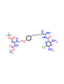 CC(C)(C)OC(=O)/N=C(\NCCOc1ccc(CCCCNC(=N)NC(=O)c2nc(Cl)c(N)nc2N)cc1)NC(=O)OC(C)(C)C